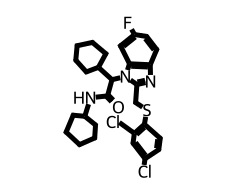 O=C(NC1CCCCC1)C(C1CCCCC1)n1c(CSc2ccc(Cl)cc2Cl)nc2ccc(F)cc21